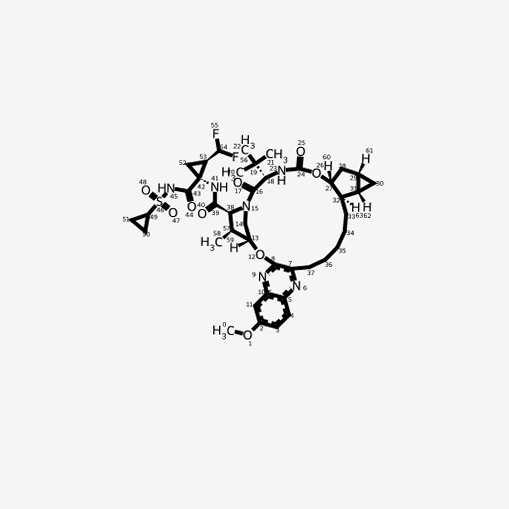 COc1ccc2nc3c(nc2c1)O[C@H]1CN(C(=O)[C@H](C(C)(C)C)NC(=O)O[C@@H]2C[C@@H]4C[C@@H]4[C@H]2CCCCC3)[C@H](C(=O)N[C@]2(C(=O)NS(=O)(=O)C3CC3)C[C@H]2C(F)F)[C@@H]1C